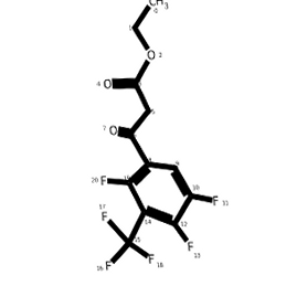 CCOC(=O)CC(=O)c1cc(F)c(F)c(C(F)(F)F)c1F